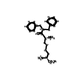 N[C@H](CSSC[C@@H](N)C(=O)N(Cc1ccccc1)Cc1ccccc1)C(=O)O